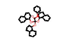 O=C(Oc1ccccc1)C(Oc1cccc2ccccc12)(Oc1cccc2ccccc12)Oc1cccc2ccccc12